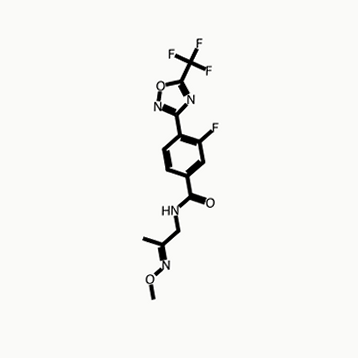 CO/N=C(\C)CNC(=O)c1ccc(-c2noc(C(F)(F)F)n2)c(F)c1